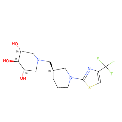 O[C@H]1[C@H](O)CN(C[C@@H]2CCCN(c3nc(C(F)(F)F)cs3)C2)C[C@@H]1O